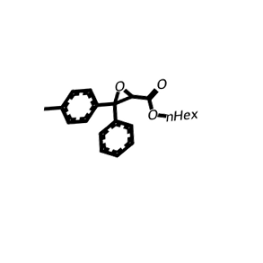 CCCCCCOC(=O)C1OC1(c1ccccc1)c1ccc(C)cc1